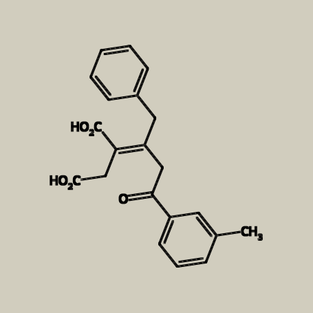 Cc1cccc(C(=O)CC(Cc2ccccc2)=C(CC(=O)O)C(=O)O)c1